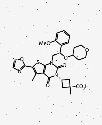 COc1ccccc1[C@H](Cn1c(=O)n([C@H]2C[C@@](C)(C(=O)O)C2)c(=O)c2c(C)c(-c3ncco3)sc21)OC1CCOCC1